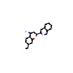 C=Cc1ccc2/c(=N\O)cc(-c3cc4ccccc4cn3)oc2c1